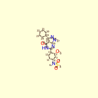 COc1cc(N(C)S(C)(=O)=O)ccc1-c1nc2c(c(-c3ccccc3)nn2C)c(=O)[nH]1